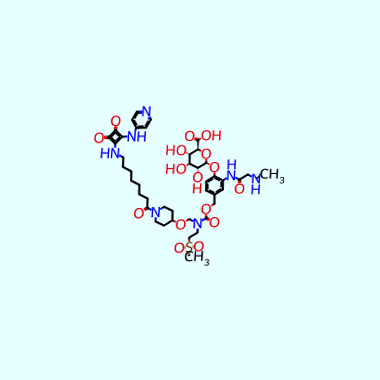 CNCC(=O)Nc1cc(COC(=O)N(CCS(C)(=O)=O)COC2CCN(C(=O)CCCCCCCNc3c(Nc4ccncc4)c(=O)c3=O)CC2)ccc1O[C@@H]1O[C@H](C(=O)O)[C@@H](O)[C@H](O)[C@H]1O